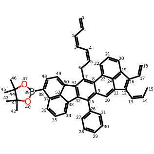 C=C/C=C\C=C/Cc1c2c(cc3c(/C=C\C)c(C=C)c4cccc2c43)c(-c2ccccc2)c2c3cccc4c(B5OC(C)(C)C(C)(C)O5)ccc(c12)c43